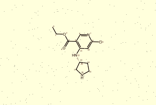 CCOC(=O)c1cnc(Cl)cc1N[C@@H]1CCNC1